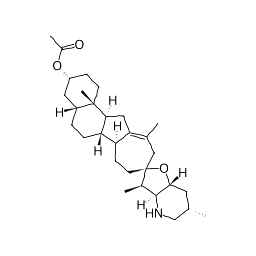 CC(=O)O[C@@H]1CC[C@@]2(C)[C@H](CC[C@H]3[C@@H]4CC[C@@]5(CC(C)=C4C[C@@H]32)O[C@@H]2C[C@H](C)CN[C@H]2[C@H]5C)C1